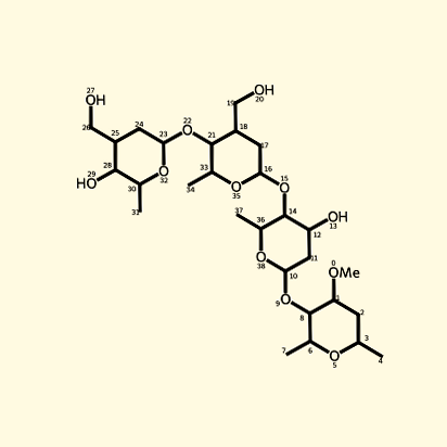 COC1CC(C)OC(C)C1OC1CC(O)C(OC2CC(CO)C(OC3CC(CO)C(O)C(C)O3)C(C)O2)C(C)O1